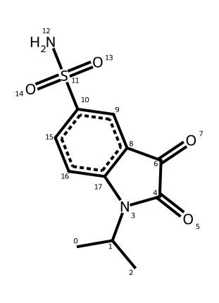 CC(C)N1C(=O)C(=O)c2cc(S(N)(=O)=O)ccc21